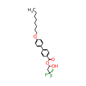 CCCCCCCCOc1ccc(-c2ccc(C(=O)OC(O)CC(F)(F)F)cc2)cc1